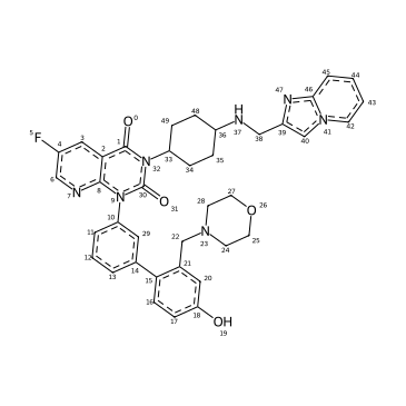 O=c1c2cc(F)cnc2n(-c2cccc(-c3ccc(O)cc3CN3CCOCC3)c2)c(=O)n1C1CCC(NCc2cn3ccccc3n2)CC1